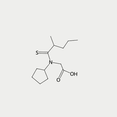 CCCC(C)C(=S)N(CC(=O)O)C1CCCC1